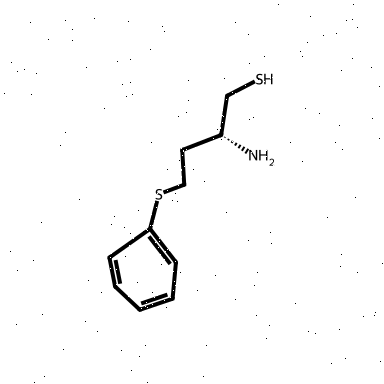 N[C@@H](CS)CCSc1ccccc1